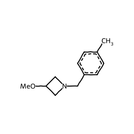 COC1CN(Cc2ccc(C)cc2)C1